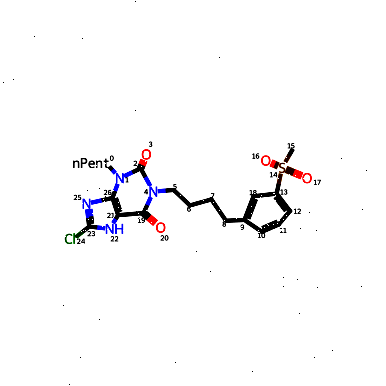 CCCCCn1c(=O)n(CCCCc2cccc(S(C)(=O)=O)c2)c(=O)c2[nH]c(Cl)nc21